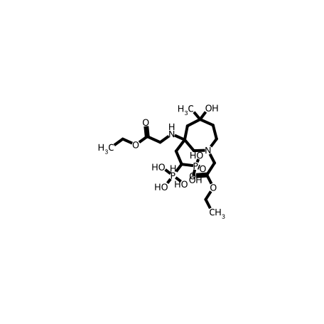 CCOC(=O)CNC1(CC(P(=O)(O)O)[PH](O)(O)O)CN(CC(=O)OCC)CCC(C)(O)C1